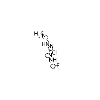 CN1CCC(CNc2cc(-c3cccc(NCc4cccc(F)c4)n3)c(Cl)cn2)CC1